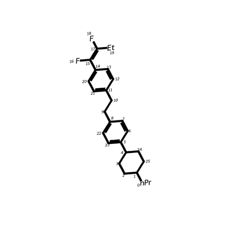 CCCC1CCC(c2ccc(CCc3ccc(/C(F)=C(/F)CC)cc3)cc2)CC1